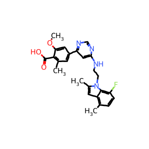 COc1cc(-c2cc(NCCn3c(C)cc4c(C)ccc(F)c43)ncn2)cc(C)c1C(=O)O